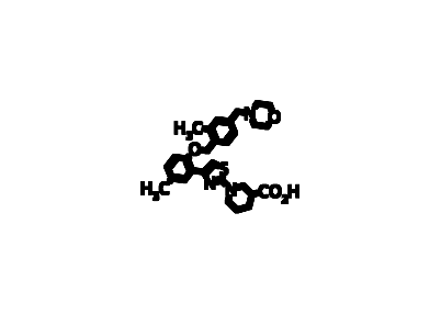 Cc1ccc(OCc2ccc(CN3CCOCC3)cc2C)c(-c2csc(N3CCCC(C(=O)O)C3)n2)c1